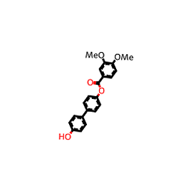 COc1ccc(C(=O)Oc2ccc(-c3ccc(O)cc3)cc2)cc1OC